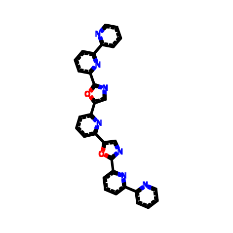 c1ccc(-c2cccc(-c3ncc(-c4cccc(-c5cnc(-c6cccc(-c7ccccn7)n6)o5)n4)o3)n2)nc1